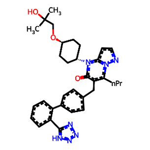 CCCc1c(Cc2ccc(-c3ccccc3-c3nnn[nH]3)cc2)c(=O)n([C@H]2CC[C@H](OCC(C)(C)O)CC2)c2ccnn12